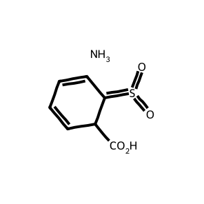 N.O=C(O)C1C=CC=CC1=S(=O)=O